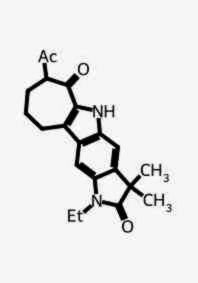 CCN1C(=O)C(C)(C)c2cc3[nH]c4c(c3cc21)CCCC(C(C)=O)C4=O